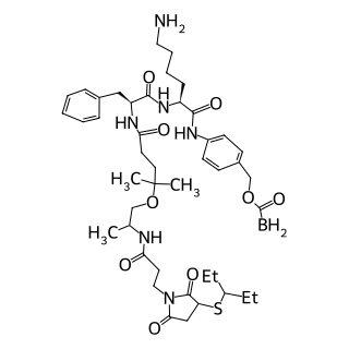 BC(=O)OCc1ccc(NC(=O)[C@H](CCCCN)NC(=O)[C@H](Cc2ccccc2)NC(=O)CCC(C)(C)OCC(C)NC(=O)CCN2C(=O)CC(SC(CC)CC)C2=O)cc1